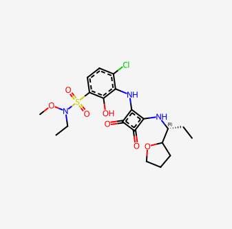 CC[C@@H](Nc1c(Nc2c(Cl)ccc(S(=O)(=O)N(CC)OC)c2O)c(=O)c1=O)C1CCCO1